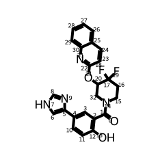 O=C(c1cc(-c2c[nH]cn2)ccc1O)N1CCC(F)(F)C(Oc2ccc3ccccc3n2)C1